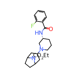 CCOC(=O)N1C2CCC1CC(N1CCC[C@@H](NC(=O)c3ccccc3F)C1)C2